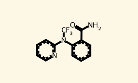 NC(=O)c1ccccc1N(c1ccccn1)C(F)(F)F